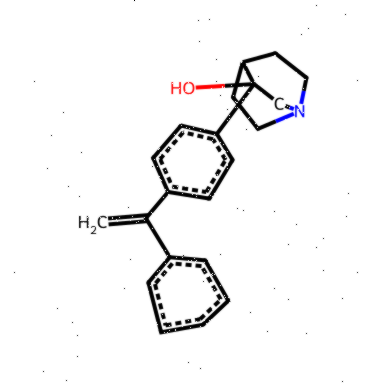 C=C(c1ccccc1)c1ccc(C2(O)CN3CCC2CC3)cc1